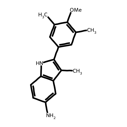 COc1c(C)cc(-c2[nH]c3ccc(N)cc3c2C)cc1C